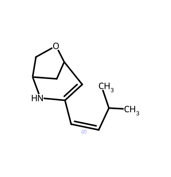 CC(C)/C=C\C1=CC2CC(CO2)N1